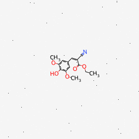 CCOC(=O)C(C#N)=Cc1cc(OC)c(O)c(OC)c1